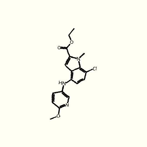 CCOC(=O)c1cc2c(Nc3ccc(OC)nc3)ccc(Cl)c2n1C